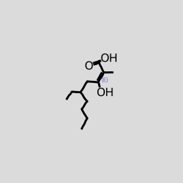 CCCCC(CC)C/C(O)=C(/C)C(=O)O